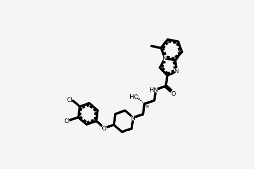 Cc1cccc2nc(C(=O)NC[C@@H](O)CN3CCC(Oc4ccc(Cl)c(Cl)c4)CC3)cn12